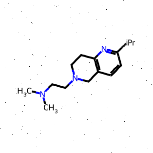 CC(C)c1ccc2c(n1)CCN(CCN(C)C)C2